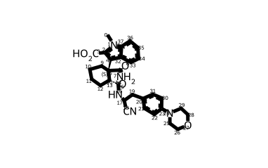 Cn1c(C(=O)O)c([C@]2(C(N)=O)CCCC[C@H]2C(=O)NC(C#N)Cc2ccc(N3CCOCC3)cc2)c2ccccc21